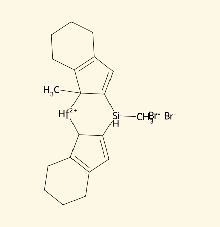 C[SiH]1C2=CC3=C(CCCC3)[CH]2[Hf+2][C]2(C)C1=CC1=C2CCCC1.[Br-].[Br-]